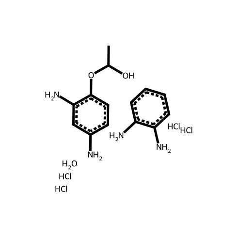 CC(O)Oc1ccc(N)cc1N.Cl.Cl.Cl.Cl.Nc1ccccc1N.O